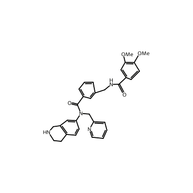 COc1ccc(C(=O)NCc2cccc(C(=O)N(Cc3ccccn3)c3ccc4c(c3)CNCC4)c2)cc1OC